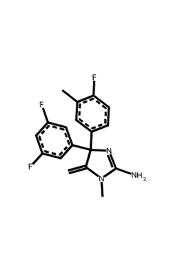 C=C1N(C)C(N)=NC1(c1cc(F)cc(F)c1)c1ccc(F)c(C)c1